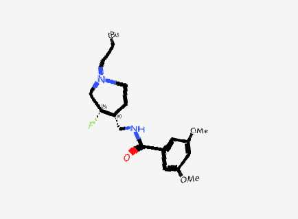 COc1cc(OC)cc(C(=O)NC[C@H]2CCN(CCC(C)(C)C)C[C@H]2F)c1